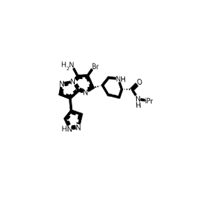 CC(C)NC(=O)[C@@H]1CC[C@H](c2nc3c(-c4cn[nH]c4)cnn3c(N)c2Br)CN1